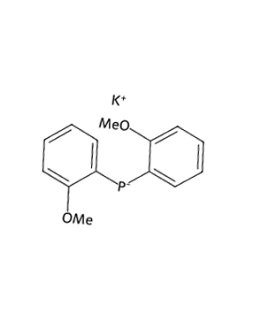 COc1ccccc1[P-]c1ccccc1OC.[K+]